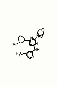 CC(=O)N1CCCC(c2cc(Nc3cc(C(F)(F)F)ccn3)nc(N3CC4CC3CO4)n2)C1